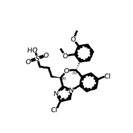 COc1cccc([C@H]2O[C@H](CCCS(=O)(=O)O)c3nc(Cl)cn3-c3ccc(Cl)cc32)c1OC